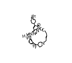 CC(C)N1CCC(c2cc3c4ncnc3n(c2=O)CCCC/C=C/CN2CCC(CC2)C(F)(F)c2cccc(c2)[C@@H](C)N4)CC1